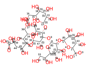 O=C(O)C1O[C@@H](OC2[C@@H](OC3[C@@H](O[C@@H]4OC(CO)[C@@H](O)[C@H](O)C4O)C(C(O)CO)O[C@H](O[C@@H]4C(C(O)CO)O[C@@](O)(C(=O)O)C[C@H]4O)[C@H]3O)OC(C(O)CO)[C@@H](O)[C@@H]2O)C(O)[C@@H](O)[C@@H]1O